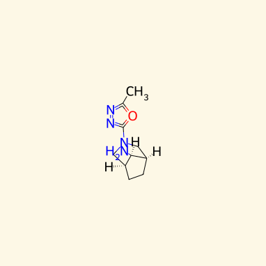 Cc1nnc(N2C[C@H]3CC[C@@H](C2)[C@H]3N)o1